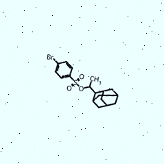 CC(OS(=O)(=O)c1ccc(Br)cc1)C1C2CC3CC(C2)CC1C3